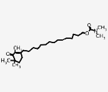 CC1=C(CCCCCCCCCCCCCCCOC(=O)N(C)C)CCC(C)(C)C1=O